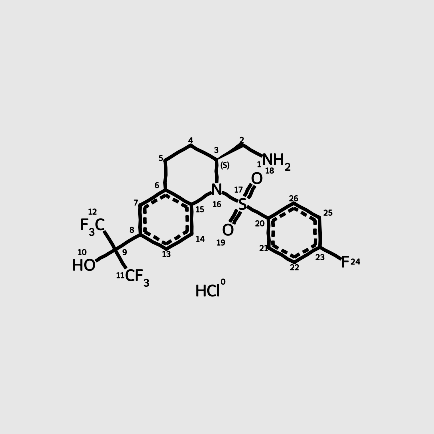 Cl.NC[C@@H]1CCc2cc(C(O)(C(F)(F)F)C(F)(F)F)ccc2N1S(=O)(=O)c1ccc(F)cc1